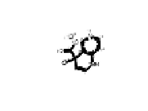 Cl.O=C(Cl)C1(Cl)C=CNc2ccncc21